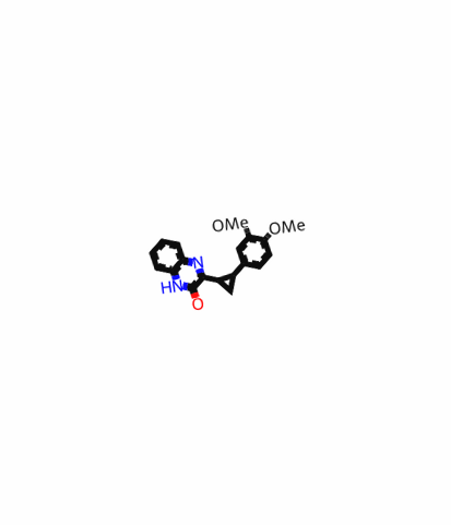 COc1ccc(C2CC2c2nc3ccccc3[nH]c2=O)cc1OC